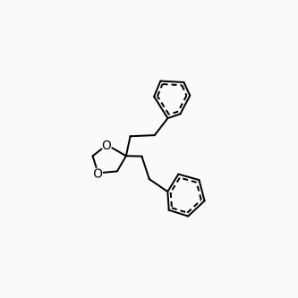 c1ccc(CCC2(CCc3ccccc3)COCO2)cc1